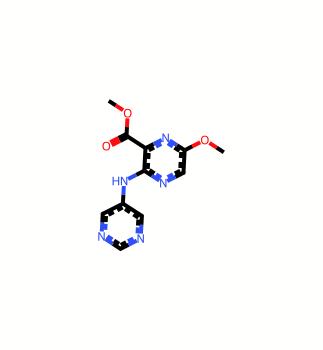 COC(=O)c1nc(OC)cnc1Nc1cncnc1